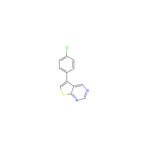 Clc1ccc(-c2csc3ncncc23)cc1